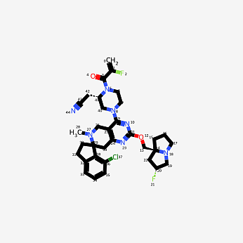 C=C(F)C(=O)N1CCN(c2nc(OC[C@@]34CCCN3C[C@H](F)C4)nc3c2CN(C)C2(CCc4cccc(Cl)c42)C3)C[C@@H]1CC#N